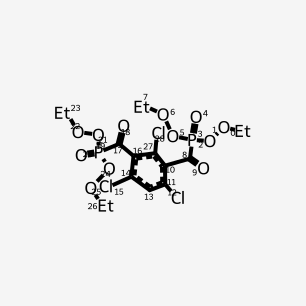 CCOOP(=O)(OOCC)C(=O)c1c(Cl)cc(Cl)c(C(=O)P(=O)(OOCC)OOCC)c1Cl